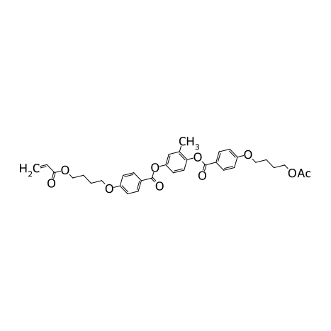 C=CC(=O)OCCCCOc1ccc(C(=O)Oc2ccc(OC(=O)c3ccc(OCCCCOC(C)=O)cc3)c(C)c2)cc1